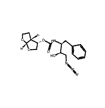 [N-]=[N+]=NC[C@@H](O)[C@H](Cc1ccccc1)NC(=O)O[C@@H]1CO[C@@H]2OCC[C@@H]21